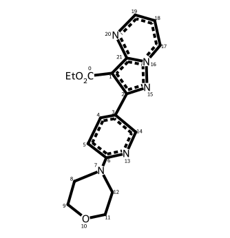 CCOC(=O)c1c(-c2ccc(N3CCOCC3)nc2)nn2cccnc12